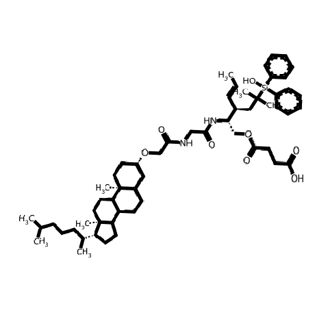 C/C=C/[C@@H](CC(C)(C)[Si](O)(c1ccccc1)c1ccccc1)[C@H](COC(=O)CCC(=O)O)NC(=O)CNC(=O)CO[C@H]1CC[C@@]2(C)C(CCC3C2CC[C@@]2(C)C3CC[C@@H]2C(C)CCCC(C)C)C1